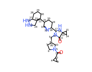 O=C(C1CC1)N1CC[C@@H](CN2C(=O)C3(CC3)NC2C2CCC(C3=C4CNNC4CCC3)C=N2)C1